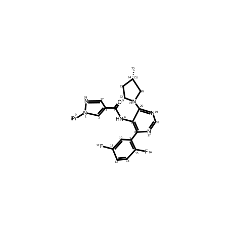 CC(C)n1cc(C(=O)Nc2c(-c3cc(F)ccc3F)ncnc2N2CC[C@H](C)C2)cn1